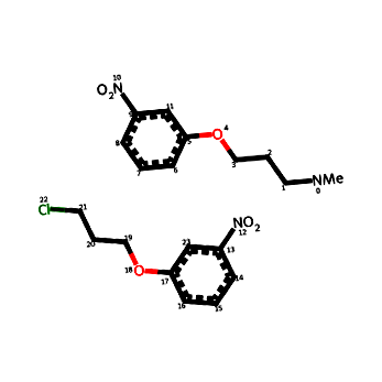 CNCCCOc1cccc([N+](=O)[O-])c1.O=[N+]([O-])c1cccc(OCCCCl)c1